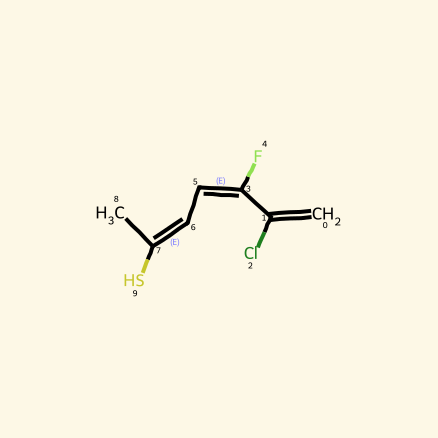 C=C(Cl)/C(F)=C\C=C(/C)S